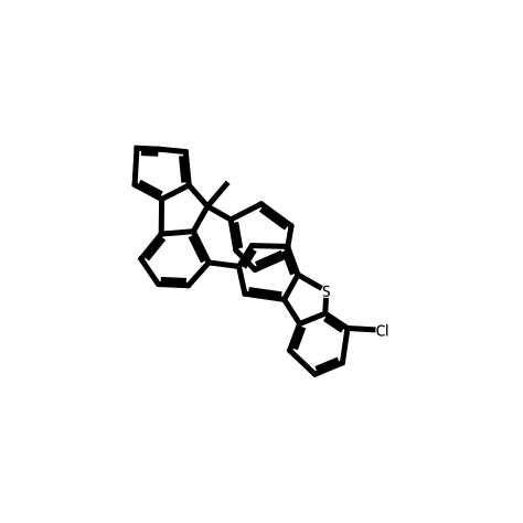 CC1(c2ccccc2)c2ccccc2-c2cccc(-c3ccc4sc5c(Cl)cccc5c4c3)c21